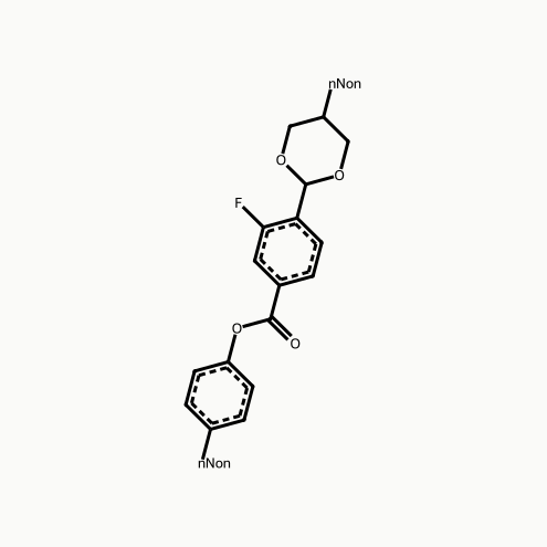 CCCCCCCCCc1ccc(OC(=O)c2ccc(C3OCC(CCCCCCCCC)CO3)c(F)c2)cc1